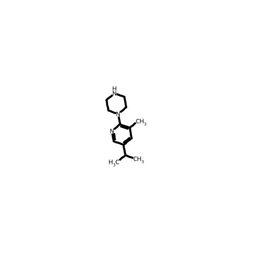 Cc1cc(C(C)C)cnc1N1CCNCC1